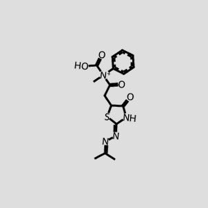 CC(C)=NN=C1NC(=O)C(CC(=O)[N+](C)(C(=O)O)c2ccccc2)S1